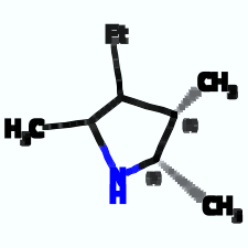 CCC1C(C)N[C@@H](C)[C@H]1C